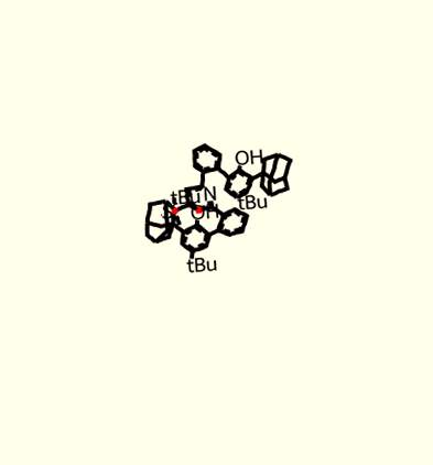 CC(C)(C)c1cc(-c2ccccc2-c2cc([Si](C)(C)C(C)(C)C)cc(-c3ccccc3-c3cc(C(C)(C)C)cc(C45CC6CC(CC(C6)C4)C5)c3O)n2)c(O)c(C23CC4CC(CC(C4)C2)C3)c1